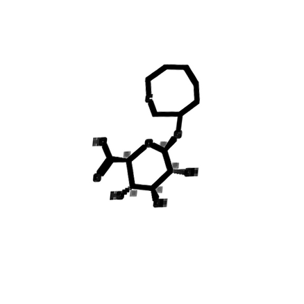 O=C(O)[C@H]1O[C@@H](OC2CCCCCCC2)[C@H](O)[C@@H](O)[C@@H]1O